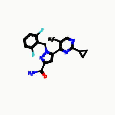 Cc1cnc(C2CC2)nc1-c1cc(C(N)=O)nn1Cc1c(F)cccc1F